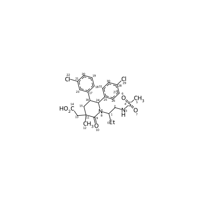 CCC(CNS(C)(=O)=O)N1C(=O)C(C)(CC(=O)O)CC(c2cccc(Cl)c2)C1c1ccc(Cl)cc1